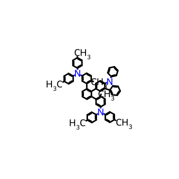 Cc1ccc(N(c2ccc(C)cc2)c2ccc(C)c(-c3cccc(-c4cc(N(c5ccc(C)cc5)c5ccc(C)cc5)ccc4C)c3-c3ccc4c(c3)c3ccccc3n4-c3ccccc3)c2)cc1